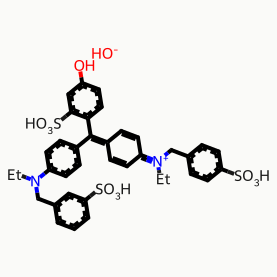 CCN(Cc1cccc(S(=O)(=O)O)c1)c1ccc(C(=C2C=CC(=[N+](CC)Cc3ccc(S(=O)(=O)O)cc3)C=C2)c2ccc(O)cc2S(=O)(=O)O)cc1.[OH-]